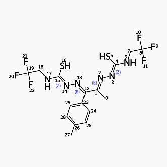 CC(=N\N=C(/S)NCC(F)(F)F)/C(=N/N=C(\S)NCC(F)(F)F)c1ccc(C)cc1